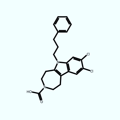 O=C(O)N1CCc2c(n(CCCc3ccccc3)c3cc(Cl)c(Cl)cc23)CC1